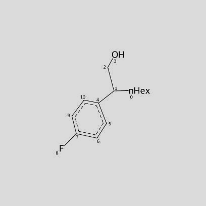 CCCCCCC(CO)c1ccc(F)cc1